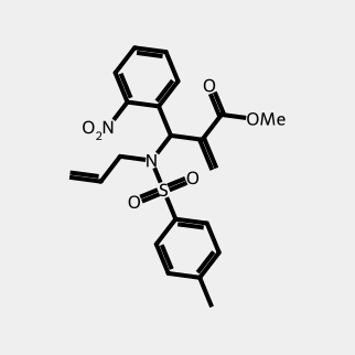 C=CCN(C(C(=C)C(=O)OC)c1ccccc1[N+](=O)[O-])S(=O)(=O)c1ccc(C)cc1